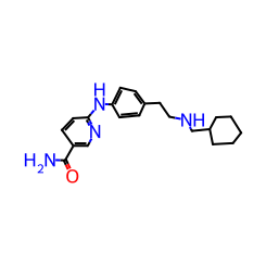 NC(=O)c1ccc(Nc2ccc(CCNCC3CCCCC3)cc2)nc1